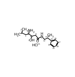 CC(C)CC(N)C(O)CC(=O)NC[C@H](C)c1ccccc1.Cl